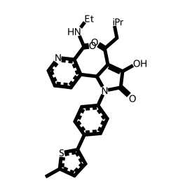 CCNC(=O)c1ncccc1C1C(C(=O)CC(C)C)=C(O)C(=O)N1c1ccc(-c2ccc(C)s2)cc1